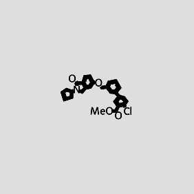 COC(=O)c1cc(-c2cccc(COc3ccc4c(c3)CN(C3CC=CC3)C4=O)c2)ccc1Cl